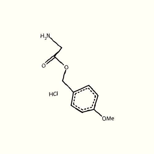 COc1ccc(COC(=O)CN)cc1.Cl